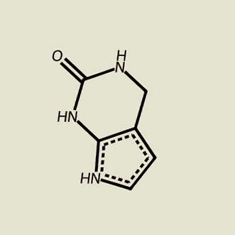 O=C1NCc2cc[nH]c2N1